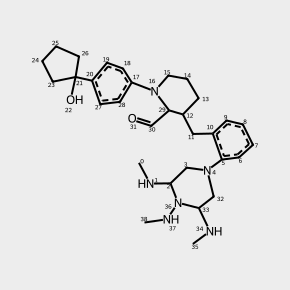 CNC1CN(c2ccccc2CC2CCCN(c3ccc(C4(O)CCCC4)cc3)C2C=O)CC(NC)N1NC